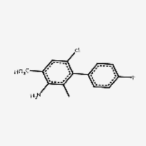 Cc1c(N)c(C(=O)O)cc(Cl)c1-c1ccc(F)cc1